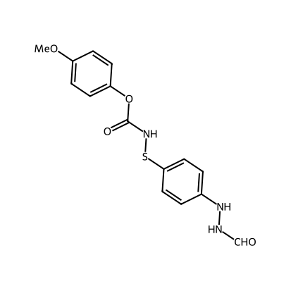 COc1ccc(OC(=O)NSc2ccc(NNC=O)cc2)cc1